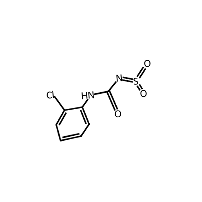 O=C(N=S(=O)=O)Nc1ccccc1Cl